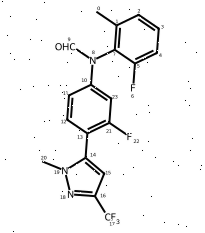 Cc1cccc(F)c1N(C=O)c1ccc(-c2cc(C(F)(F)F)nn2C)c(F)c1